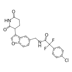 O=C1CCC(c2coc3ccc(CNC(=O)C(F)(F)c4ccc(Cl)cc4)cc23)C(=O)N1